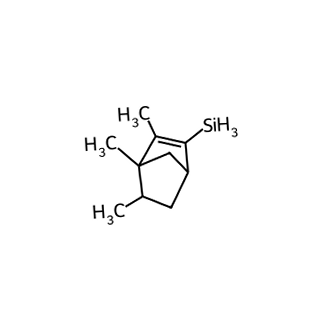 CC1=C([SiH3])C2CC(C)C1(C)C2